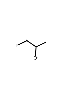 CC([O])[CH]I